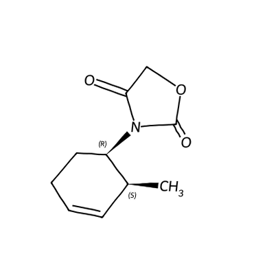 C[C@H]1C=CCC[C@H]1N1C(=O)COC1=O